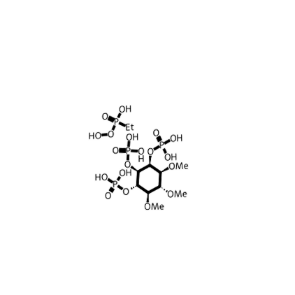 CCP(=O)(O)OO.CO[C@@H]1[C@@H](OC)[C@H](OP(=O)(O)O)[C@@H](OP(=O)(O)O)[C@@H](OP(=O)(O)O)[C@H]1OC